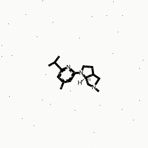 Cc1cc(C(C)C)nc(N2CCC3CN(C)C[C@H]32)c1